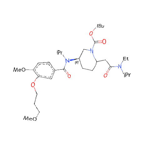 CCN(C(=O)CC1CC[C@@H](N(C(=O)c2ccc(OC)c(OCCCOC)c2)C(C)C)CN1C(=O)OC(C)(C)C)C(C)C